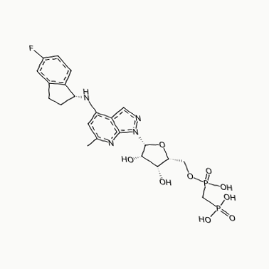 Cc1cc(N[C@@H]2CCc3cc(F)ccc32)c2cnn([C@@H]3O[C@H](COP(=O)(O)CP(=O)(O)O)[C@H](O)[C@@H]3O)c2n1